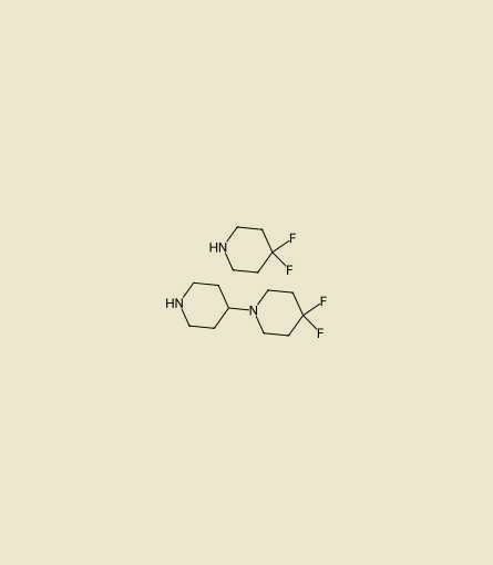 FC1(F)CCN(C2CCNCC2)CC1.FC1(F)CCNCC1